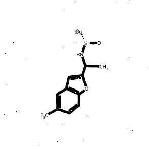 CC(N[S@@+]([O-])C(C)(C)C)c1cc2cc(C(F)(F)F)ccc2o1